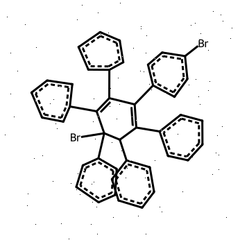 Brc1ccc(C2=C(c3ccccc3)C(c3ccccc3)C(Br)(c3ccccc3)C(c3ccccc3)=C2c2ccccc2)cc1